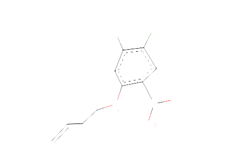 C=CCCOc1cc(F)c(F)cc1B(O)O